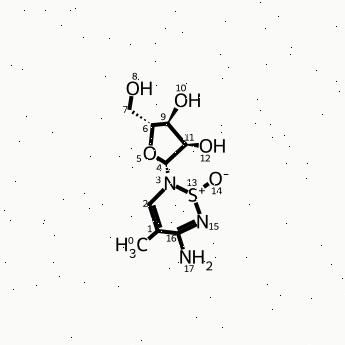 CC1=CN([C@@H]2O[C@H](CO)[C@@H](O)[C@H]2O)[S+]([O-])N=C1N